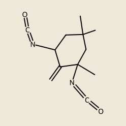 C=C1C(N=C=O)CC(C)(C)CC1(C)N=C=O